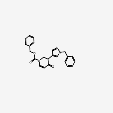 O=C1C=CN(C(=O)OCc2ccccc2)CC1c1cnn(Cc2ccccc2)c1